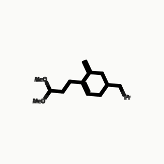 C=C1CC(CC(C)C)CC=C1CCC(OC)OC